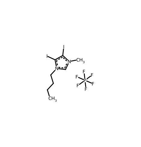 CCCC[n+]1cn(C)c(I)c1I.F[P-](F)(F)(F)(F)F